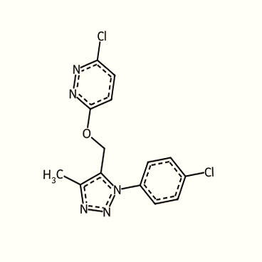 Cc1nnn(-c2ccc(Cl)cc2)c1COc1ccc(Cl)nn1